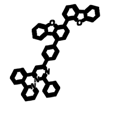 c1ccc(-c2nc(-c3ccc(-c4ccc(-c5cccc6c5oc5ccccc56)c5oc6ccccc6c45)cc3)cc(-c3ccccc3-c3ccccn3)n2)cc1